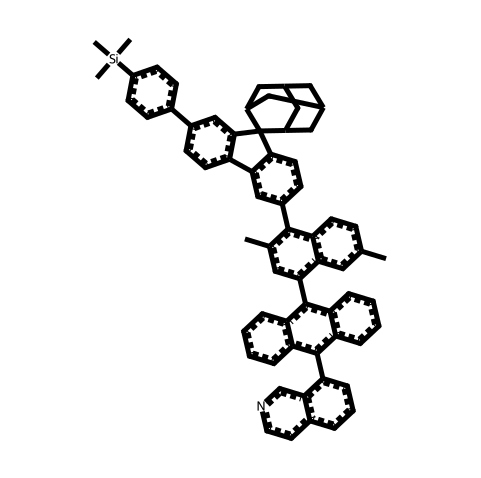 Cc1ccc2c(-c3ccc4c(c3)-c3ccc(-c5ccc([Si](C)(C)C)cc5)cc3C43C4CC5CC(C4)CC3C5)c(C)cc(-c3c4ccccc4c(-c4cccc5ccncc45)c4ccccc34)c2c1